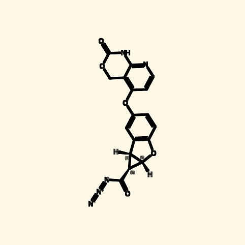 [N-]=[N+]=NC(=O)[C@@H]1[C@H]2Oc3ccc(Oc4ccnc5c4COC(=O)N5)cc3[C@H]21